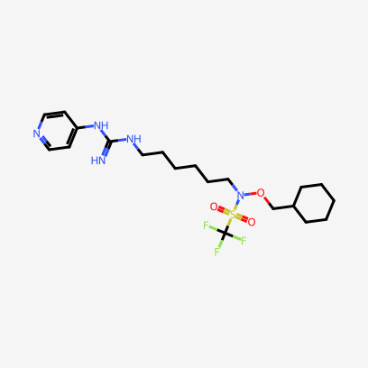 N=C(NCCCCCCN(OCC1CCCCC1)S(=O)(=O)C(F)(F)F)Nc1ccncc1